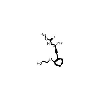 CCC[C@H](C#Cc1ccccc1OCCO)NC(=O)OC(C)(C)C